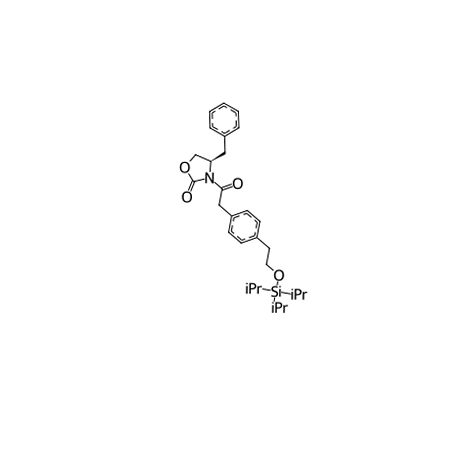 CC(C)[Si](OCCc1ccc(CC(=O)N2C(=O)OC[C@H]2Cc2ccccc2)cc1)(C(C)C)C(C)C